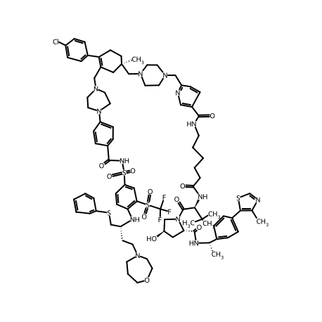 Cc1ncsc1-c1ccc([C@H](C)NC(=O)[C@@H]2C[C@@H](O)CN2C(=O)[C@@H](NC(=O)CCCCCNC(=O)c2ccc(CN3CCN(C[C@]4(C)CCC(c5ccc(Cl)cc5)=C(CN5CCN(c6ccc(C(=O)NS(=O)(=O)c7ccc(N[C@H](CCN8CCCOCC8)CSc8ccccc8)c(S(=O)(=O)C(F)(F)F)c7)cc6)CC5)C4)CC3)nc2)C(C)(C)C)cc1